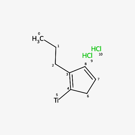 CCCC1=[C]([Ti])CC=C1.Cl.Cl